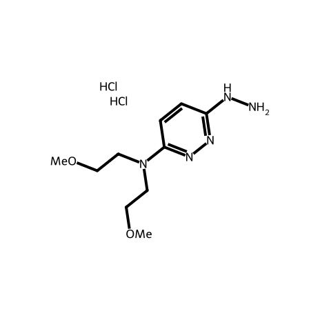 COCCN(CCOC)c1ccc(NN)nn1.Cl.Cl